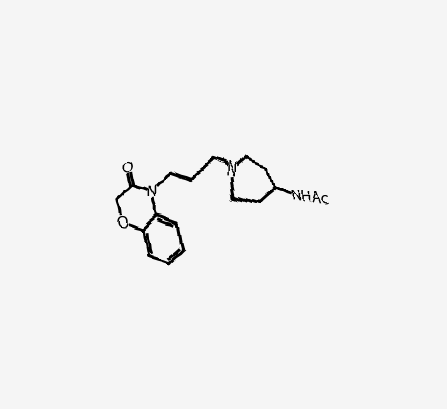 CC(=O)NC1CCN(CCCN2C(=O)COc3ccccc32)CC1